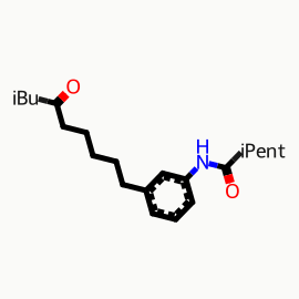 CCCC(C)C(=O)Nc1cccc(CCCCCC(=O)C(C)CC)c1